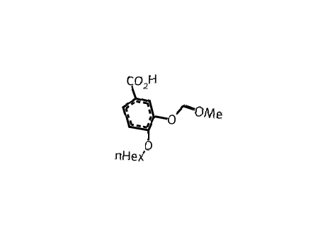 CCCCCCOc1ccc(C(=O)O)cc1OCOC